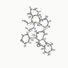 C=Cc1c(/C=C(\C)c2ccccc2-c2cccc3c2oc2ccccc23)c2ccccc2c2ccccc12